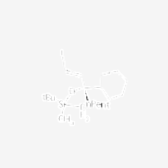 CCCCC[C@](/C=C/I)(O[Si](C)(C)C(C)(C)C)C1CCCCC1